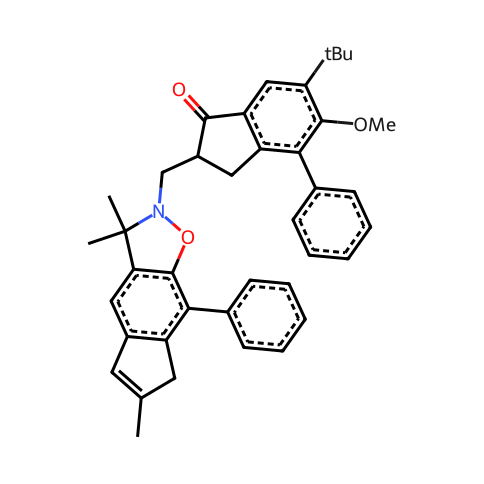 COc1c(C(C)(C)C)cc2c(c1-c1ccccc1)CC(CN1Oc3c(cc4c(c3-c3ccccc3)CC(C)=C4)C1(C)C)C2=O